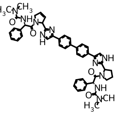 CN(C)C(=O)N[C@@H](C(=O)N1CC=CC1c1nc(-c2ccc(-c3ccc(-c4c[nH]c(C5CCCN5C(=O)[C@H](NC(=O)N(C)C)c5ccccc5)n4)cc3)cc2)c[nH]1)c1ccccc1